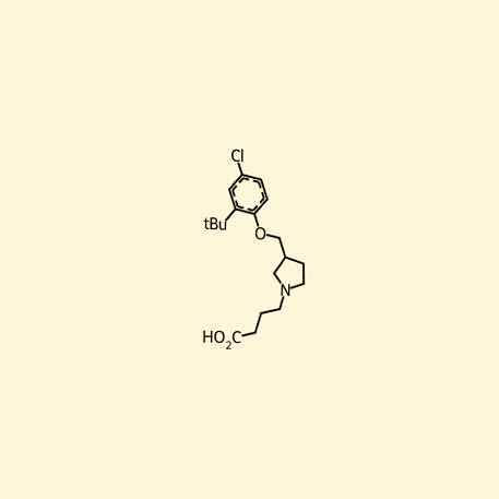 CC(C)(C)c1cc(Cl)ccc1OCC1CCN(CCCC(=O)O)C1